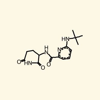 CC(C)(C)Nc1cccc(C(=O)NC2CCC(=O)NC2=O)n1